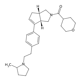 CC1CCCN1CCc1ccc(C2=CC[C@@H]3CN(C(=O)C4CCOCC4)C[C@H]23)cc1